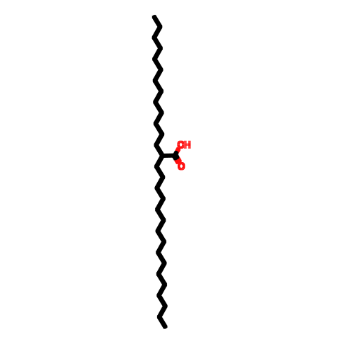 CCCCCCCCCCCCCCCCC(CCCCCCCCCCCCC)C(=O)O